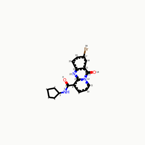 O=C(NC1CCCC1)c1cccn2c(=O)c3cc(Br)ccc3nc12